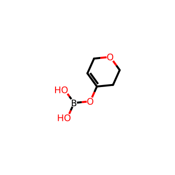 OB(O)OC1=CCOCC1